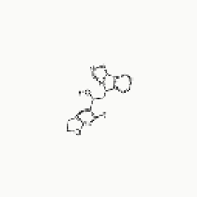 OC(CC1c2ccccc2-c2cncn21)c1cc2c(cc1F)OCC2